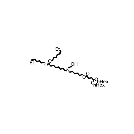 CC/C=C\CCCCOC(CCCCCCCN(CCO)CCCCCCOC(=O)CCC(OCCCCCC)OCCCCCC)OCCCC/C=C\CC